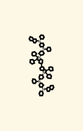 c1ccc(-c2c(-c3ccccc3)n(-c3ccc(N(c4ccccc4)c4ccc(N(c5ccccc5)c5ccc6ccccc6c5)cc4)cc3)c3ccc(-c4ccc5c(c4)c(-c4ccccc4)c(-c4ccccc4)n5-c4ccc(N(c5ccccc5)c5ccc(N(c6ccccc6)c6ccc7ccccc7c6)cc5)cc4)cc23)cc1